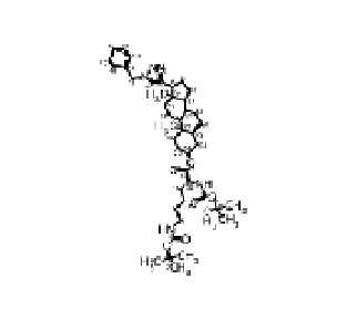 CC(C)(C)OC(=O)NCCCC[C@H](NC(=O)OC(C)(C)C)C(=O)OC1CCC2(C)C(=CCC3C2CCC2(C)C(c4cn(Cc5ccccc5)nn4)CCC32)C1